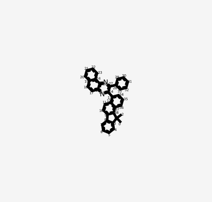 CC1(C)c2ccccc2-c2ccc3c(-c4nc5ccc6ccccc6c5nc4-c4ccccc4)cccc3c21